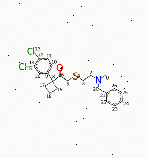 CN(CCSCC(=O)C1(c2ccc(Cl)c(Cl)c2)CCC1)Cc1ccccc1